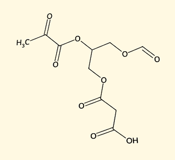 CC(=O)C(=O)OC(COC=O)COC(=O)CC(=O)O